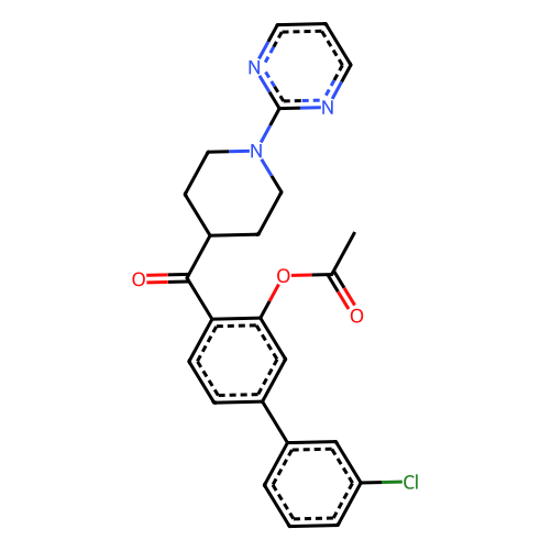 CC(=O)Oc1cc(-c2cccc(Cl)c2)ccc1C(=O)C1CCN(c2ncccn2)CC1